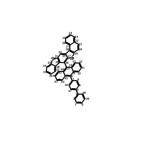 c1ccc(-c2ccc(-c3c4ccccc4c(-c4c5sc6ccc7ccccc7c6c5cc5sc6ccccc6c45)c4ccccc34)cc2)cc1